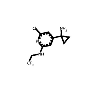 NC1(c2cc(Cl)nc(NCC(F)(F)F)c2)CC1